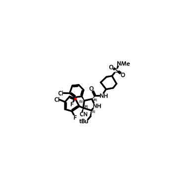 CNS(=O)(=O)C1CCC(NC(=O)[C@@H]2N[C@@H](CC(C)(C)C)[C@](C#N)(c3ccc(Cl)cc3F)[C@H]2c2cccc(Cl)c2F)CC1